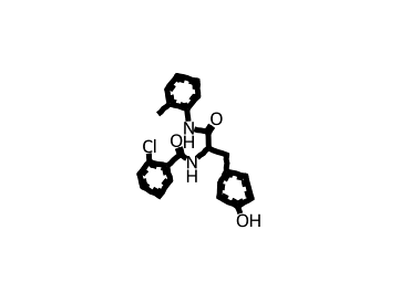 Cc1ccccc1NC(=O)C(Cc1ccc(O)cc1)NC(=O)c1ccccc1Cl